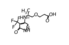 C[C@@H](COCCC(=O)O)Nc1cn[nH]c(=O)c1C(F)(F)F